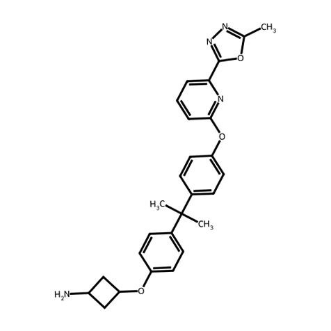 Cc1nnc(-c2cccc(Oc3ccc(C(C)(C)c4ccc(OC5CC(N)C5)cc4)cc3)n2)o1